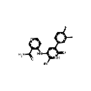 Cc1cc(-c2cc(Nc3ccncc3C(N)=O)c(C(C)C)[nH]c2=O)ccc1F